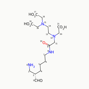 NC[C@@H](C=O)CCCCNC(=O)CN(CCN(CC(=O)O)CC(=O)O)CC(=O)O